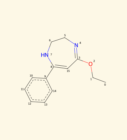 CCOC1=NCCNC(c2ccccc2)=C1